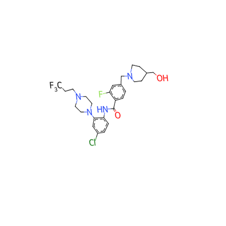 O=C(Nc1ccc(Cl)cc1N1CCN(CCC(F)(F)F)CC1)c1ccc(CN2CCC(CO)CC2)cc1F